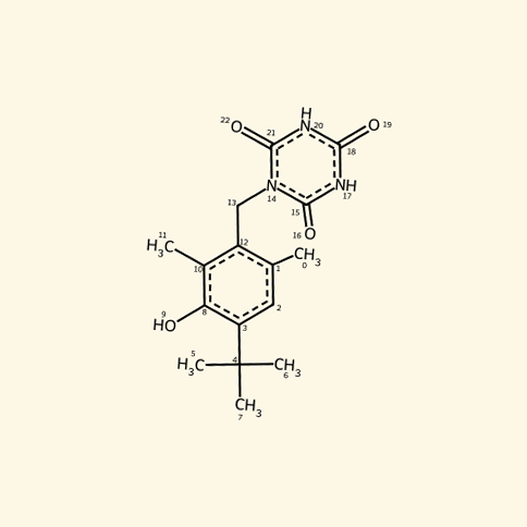 Cc1cc(C(C)(C)C)c(O)c(C)c1Cn1c(=O)[nH]c(=O)[nH]c1=O